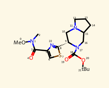 CON(C)C(=O)c1csc([C@@H]2CN3CCCC3CN2C(=O)OC(C)(C)C)n1